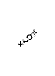 CC(C)(C)OC(=O)CN1CCC(OS(C)(=O)=O)CC1